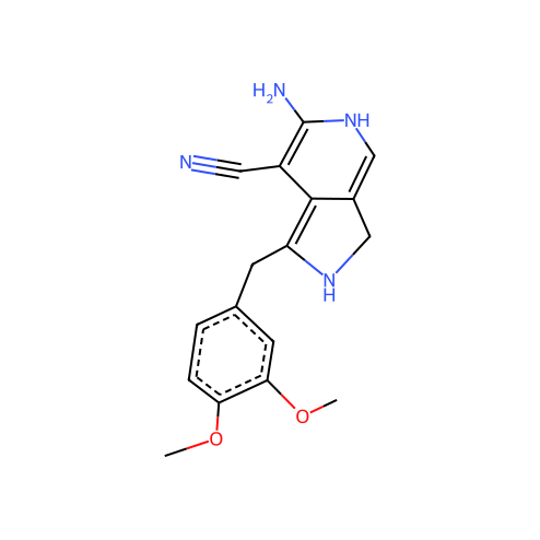 COc1ccc(CC2=C3C(=CNC(N)=C3C#N)CN2)cc1OC